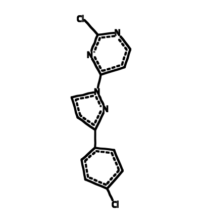 Clc1ccc(-c2ccn(-c3ccnc(Cl)n3)n2)cc1